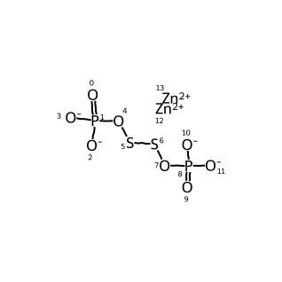 O=P([O-])([O-])OSSOP(=O)([O-])[O-].[Zn+2].[Zn+2]